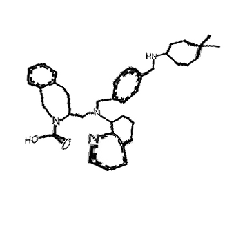 CC1(C)CCC(NCc2ccc(CN(CC3Cc4ccccc4CN3C(=O)O)C3CCCc4cccnc43)cc2)CC1